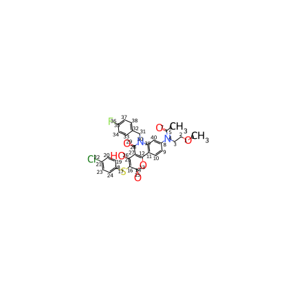 COCCN(C(C)=O)c1ccc2c3oc(=O)c(Sc4ccc(Cl)cc4)c(O)c3c(=O)n(Cc3ccc(F)cc3)c2c1